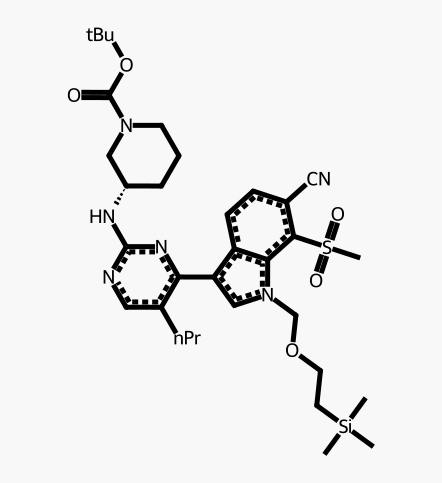 CCCc1cnc(N[C@H]2CCCN(C(=O)OC(C)(C)C)C2)nc1-c1cn(COCC[Si](C)(C)C)c2c(S(C)(=O)=O)c(C#N)ccc12